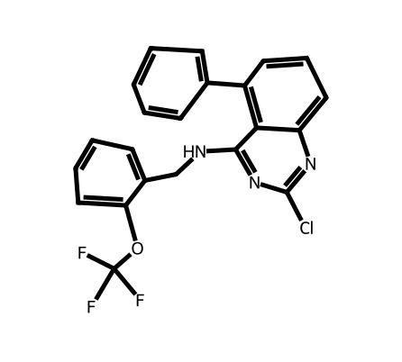 FC(F)(F)Oc1ccccc1CNc1nc(Cl)nc2cccc(-c3ccccc3)c12